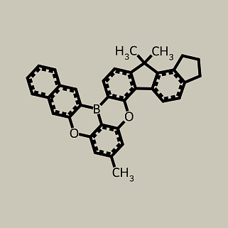 Cc1cc2c3c(c1)Oc1c(ccc4c1-c1ccc5c(c1C4(C)C)CCC5)B3c1cc3ccccc3cc1O2